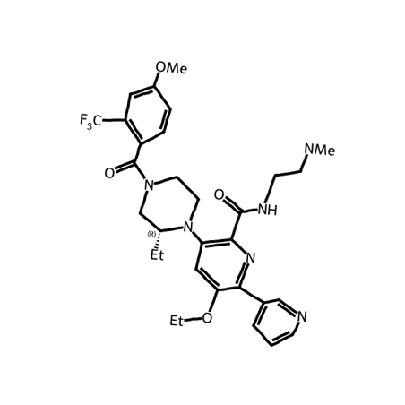 CCOc1cc(N2CCN(C(=O)c3ccc(OC)cc3C(F)(F)F)C[C@H]2CC)c(C(=O)NCCNC)nc1-c1cccnc1